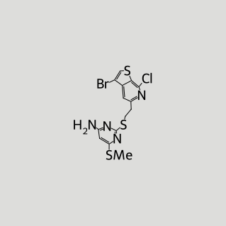 CSc1cc(N)nc(SCCc2cc3c(Br)csc3c(Cl)n2)n1